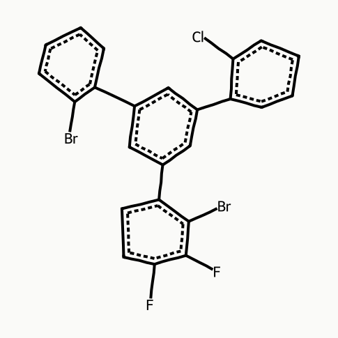 Fc1ccc(-c2cc(-c3ccccc3Cl)cc(-c3ccccc3Br)c2)c(Br)c1F